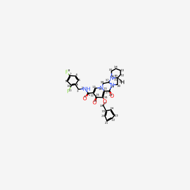 O=C(NCc1ccc(F)cc1F)c1cn2c(c(OCc3ccccc3)c1=O)C(=O)N1C[C@H]3CCCCN3C1C2